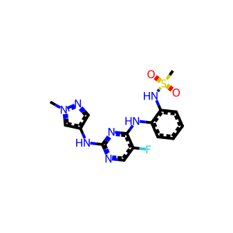 Cn1cc(Nc2ncc(F)c(Nc3ccccc3NS(C)(=O)=O)n2)cn1